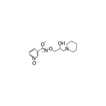 CO/C(=N\OCC(O)CN1CCCCC1)c1ccc[n+]([O-])c1